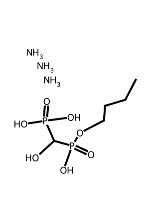 CCCCOP(=O)(O)C(O)P(=O)(O)O.N.N.N